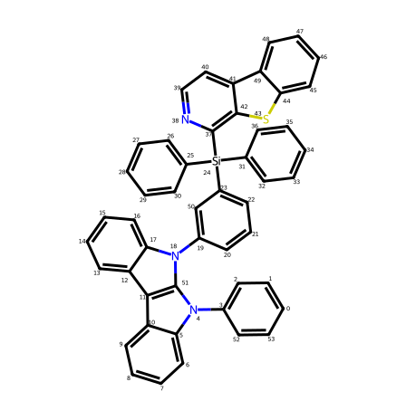 c1ccc(-n2c3ccccc3c3c4ccccc4n(-c4cccc([Si](c5ccccc5)(c5ccccc5)c5nccc6c5sc5ccccc56)c4)c32)cc1